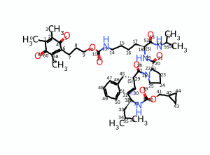 CC1=C(C)C(=O)C(CCCOC(=O)NCCCC[C@H](NC(=O)[C@@H]2CCCN2C(=O)[C@H](/C=C/[C@H](CC(C)C)NC(=O)OCC2CC2)Cc2ccccc2)C(=O)NC(C)C)=C(C)C1=O